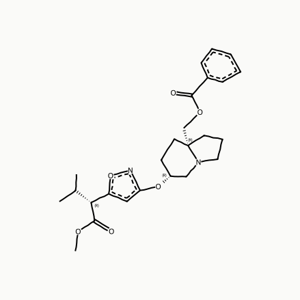 COC(=O)[C@@H](c1cc(O[C@@H]2CC[C@@]3(COC(=O)c4ccccc4)CCCN3C2)no1)C(C)C